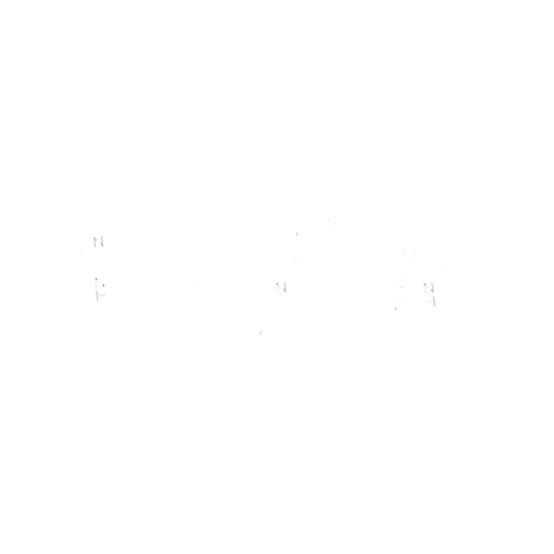 CC(C)NS(=O)(=O)c1ccc(C(=O)N2CCOc3ccc(-c4ccc5nc[nH]c5c4)cc3C2)c(Br)c1